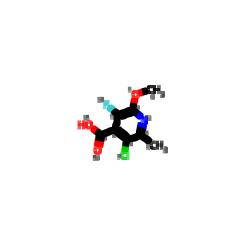 COc1nc(C)c(Cl)c(C(=O)O)c1F